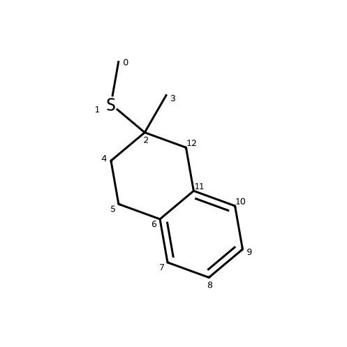 CSC1(C)CCc2ccccc2C1